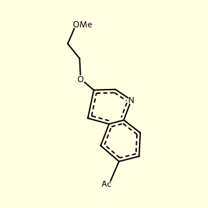 COCCOc1cnc2ccc(C(C)=O)cc2c1